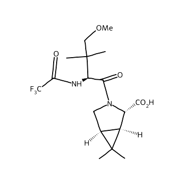 COCC(C)(C)[C@H](NC(=O)C(F)(F)F)C(=O)N1C[C@H]2[C@@H]([C@H]1C(=O)O)C2(C)C